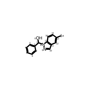 OC(c1ccccc1)n1ncc2cc(I)ccc21